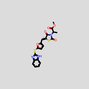 COC(=O)C(C)N1C(=O)S/C(=C\c2ccc(Sc3nc4ccccc4[nH]3)o2)C1=O